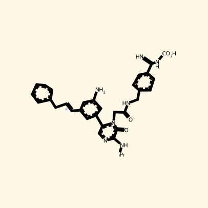 CC(C)Nc1ncc(-c2cc(N)cc(/C=C/Cc3ccccc3)c2)n(CC(=O)NCc2ccc(C(=N)NC(=O)O)cc2)c1=O